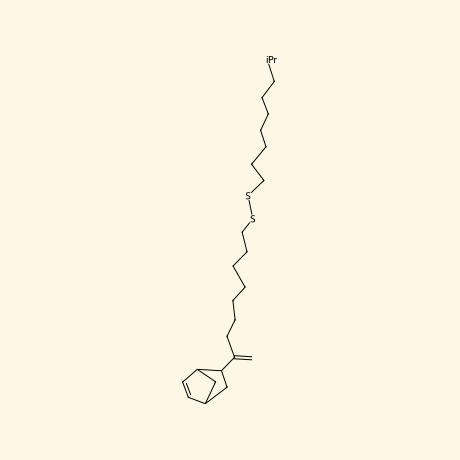 C=C(CCCCCCCSSCCCCCCCC(C)C)C1CC2C=CC1C2